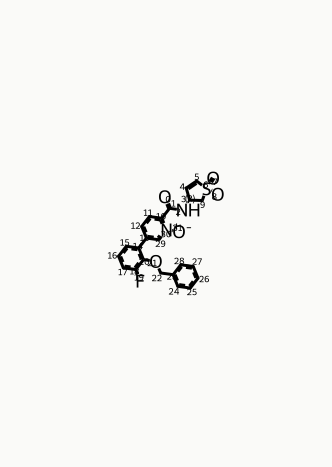 O=C(N[C@@H]1C=CS(=O)(=O)C1)c1ccc(-c2cccc(F)c2OCc2ccccc2)c[n+]1[O-]